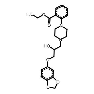 CCOC(=O)c1ccccc1N1CCN(CC(O)COc2ccc3c(c2)OCO3)CC1